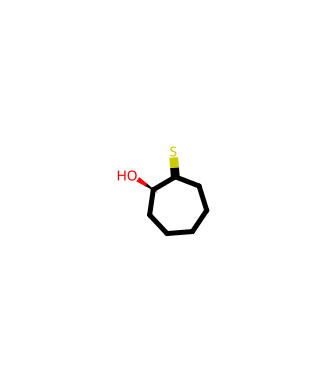 O[C@@H]1CCCCCC1=S